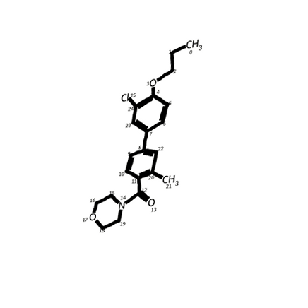 CCCOc1ccc(-c2ccc(C(=O)N3CCOCC3)c(C)c2)cc1Cl